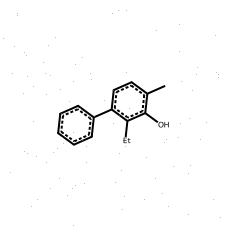 CCc1c(-c2ccccc2)ccc(C)c1O